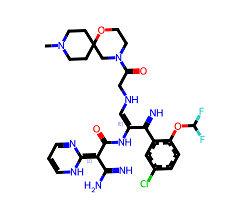 CN1CCC2(CC1)CN(C(=O)CN/C=C(/NC(=O)/C(C(=N)N)=C1\N=CC=CN1)C(=N)c1cc(Cl)ccc1OC(F)F)CCO2